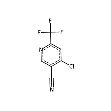 N#Cc1cnc(C(F)(F)F)cc1Cl